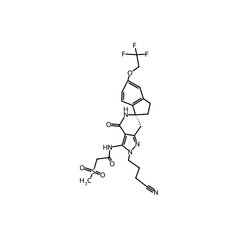 CS(=O)(=O)CC(=O)Nc1c2c(nn1CCCC#N)C[C@]1(CCc3cc(OCC(F)(F)F)ccc31)NC2=O